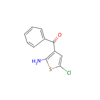 Nc1sc(Cl)cc1C(=O)c1ccccc1